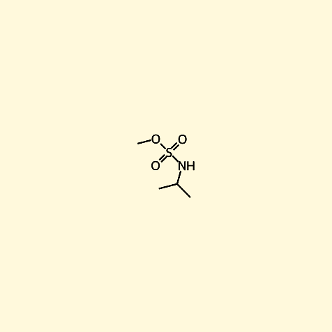 COS(=O)(=O)NC(C)C